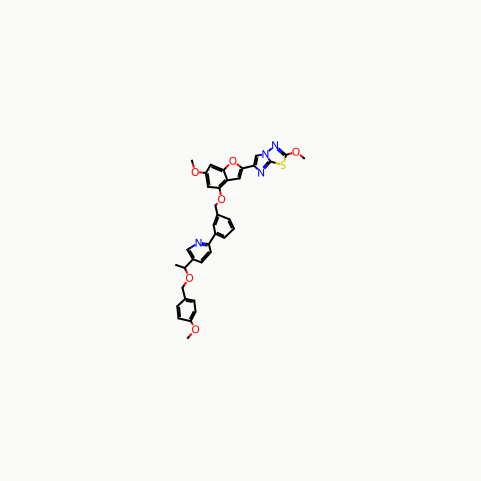 COc1ccc(COC(C)c2ccc(-c3cccc(COc4cc(OC)cc5oc(-c6cn7nc(OC)sc7n6)cc45)c3)nc2)cc1